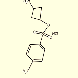 Cc1ccc(S(=O)(=O)OC2CC(N)C2)cc1.Cl